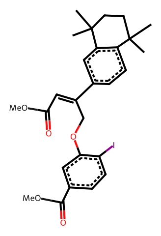 COC(=O)C=C(COc1cc(C(=O)OC)ccc1I)c1ccc2c(c1)C(C)(C)CCC2(C)C